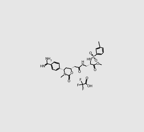 COC(=O)[C@H](CNC(=O)C[C@H]1C[C@@H](c2ccc(C(=N)N)cc2)N(C)C(=O)O1)NS(=O)(=O)c1cccc(C)c1.O=C(O)C(F)(F)F